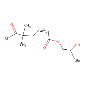 CC(C)(C/C=C\C(=O)OCC(O)C(C)(C)C)C(=O)Cl